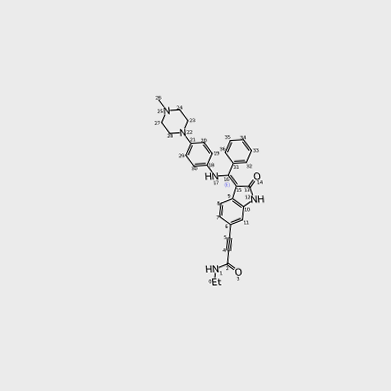 CCNC(=O)C#Cc1ccc2c(c1)NC(=O)/C2=C(/Nc1ccc(N2CCN(C)CC2)cc1)c1ccccc1